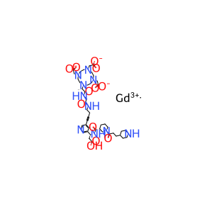 C[C@@H](C(=O)NCC(=O)NCCC#Cc1cncc([C@H](CC(=O)O)NC(=O)[C@@H]2CCCN(C(=O)CCC3CCNCC3)C2)c1)N1CCN(CC(=O)[O-])CCN(CC(=O)[O-])CCN(CC(=O)[O-])CC1.[Gd+3]